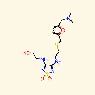 CN(C)Cc1ccc(CSCCNC2=NS(=O)(=O)N=C2NCCO)o1